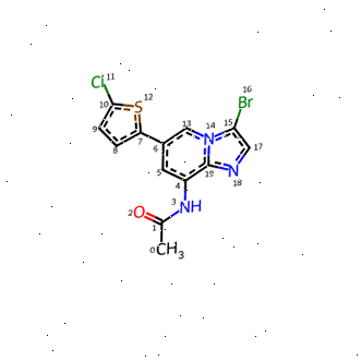 CC(=O)Nc1cc(-c2ccc(Cl)s2)cn2c(Br)cnc12